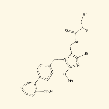 CCCOc1nc(CC)c(CNC(=O)C(S)CC(C)C)n1Cc1ccc(-c2ccccc2C(=O)O)cc1